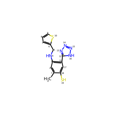 Cc1cc(NCc2cccs2)c(-c2nnn[nH]2)cc1S